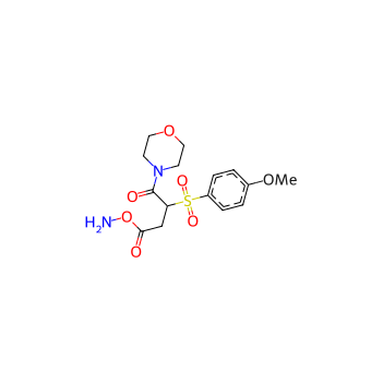 COc1ccc(S(=O)(=O)C(CC(=O)ON)C(=O)N2CCOCC2)cc1